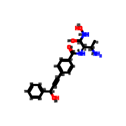 C[C@@H](N)[C@H](NC(=O)c1ccc(C#CC(O)c2ccccc2)cc1)C(=O)NO